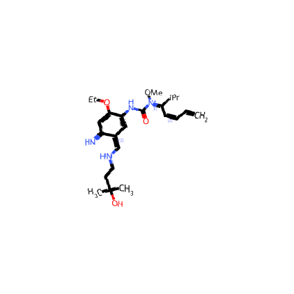 C=C/C=C\C(C(C)C)=[N+](\OC)C(=O)NC1=C/C(=C/NCCC(C)(C)O)C(=N)C=C1OCC